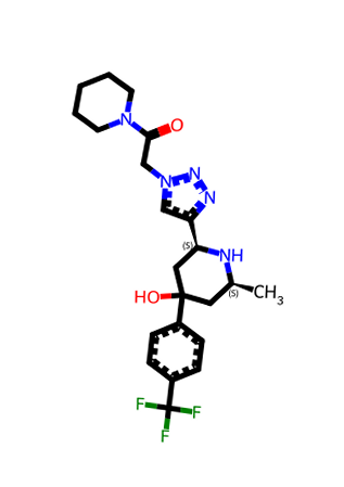 C[C@H]1CC(O)(c2ccc(C(F)(F)F)cc2)C[C@@H](c2cn(CC(=O)N3CCCCC3)nn2)N1